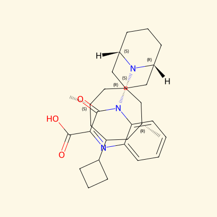 C[C@@H]1CC(C2CCC2)C[C@H](C)C[C@H](N2[C@@H]3CCC[C@H]2C[C@@H](n2c(=O)c(C(=O)O)nc4ccccc42)C3)C1